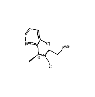 CCN(CCNC)[C@@H](C)c1ncccc1Cl